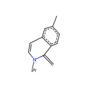 C=C1c2ccc(C)cc2C=CN1C(C)C